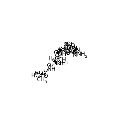 CC(O)CC(O)C(=O)SCCNC(=O)CCNC(=O)C(O)C(C)(C)COP(=O)(O)OP(=O)(O)OC[C@H]1O[C@@H](n2cnc3c(N)ncnc32)[C@H](O)[C@@H]1OP(=O)(O)O